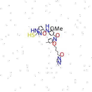 COc1cc(C(=O)N(C)c2ccc(C)cc2OCCCCCC(=O)N2CCN(C)CC2)ccc1NC(=O)c1cccc2[nH]c(CS)nc12